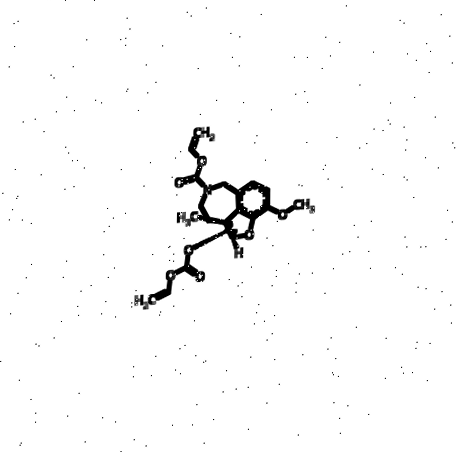 C=COC(=O)O[C@@H]1C[C@@H]2Oc3c(OC)ccc4c3[C@]2(CCN(C(=O)OC=C)C4)C1C